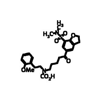 COc1ccccc1CCN(CCCCC(=O)c1cc2c(c(S(=O)(=O)N(C)C)c1)OCC2)C(=O)O